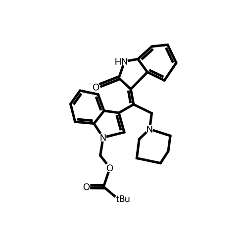 CC(C)(C)C(=O)OCn1cc(C(CN2CCCCC2)=C2C(=O)Nc3ccccc32)c2ccccc21